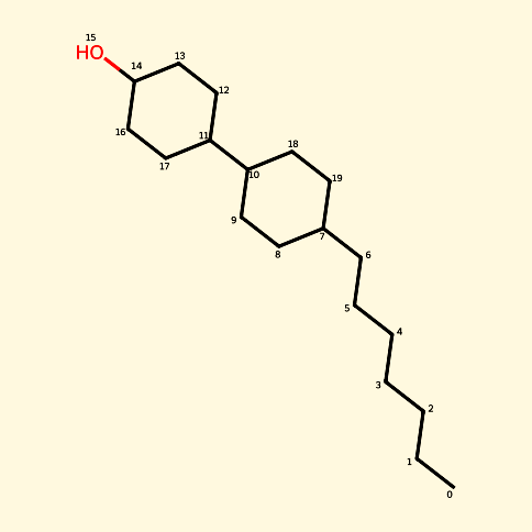 CCCCCCCC1CCC(C2CCC(O)CC2)CC1